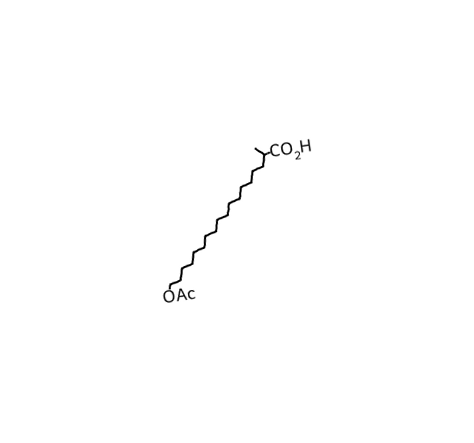 CC(=O)OCCCCCCCCCCCCCCCCC(C)C(=O)O